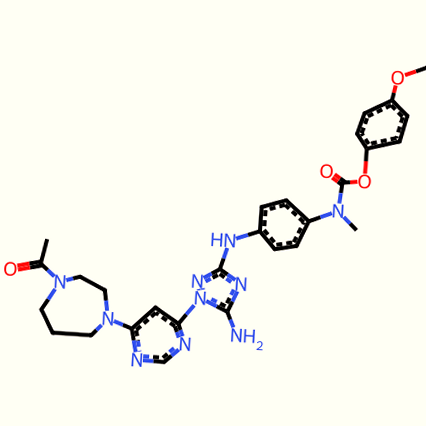 COc1ccc(OC(=O)N(C)c2ccc(Nc3nc(N)n(-c4cc(N5CCCN(C(C)=O)CC5)ncn4)n3)cc2)cc1